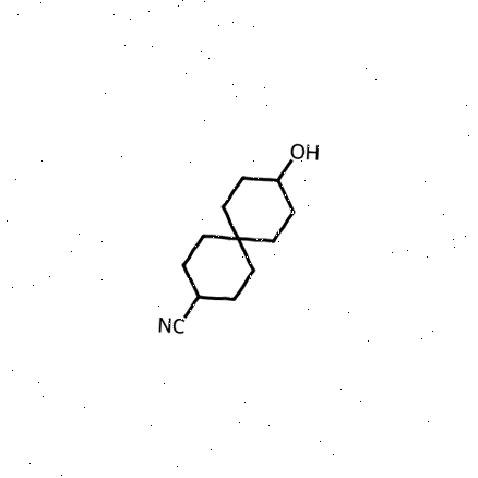 N#CC1CCC2(CCC(O)CC2)CC1